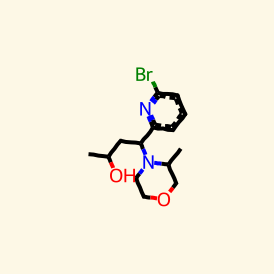 CC(O)CC(c1cccc(Br)n1)N1CCOCC1C